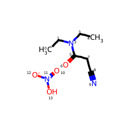 CCN(CC)C(=O)CC#N.O=[N+]([O-])O